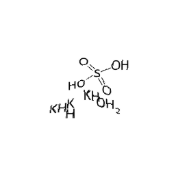 O.O=S(=O)(O)O.[KH].[KH].[KH]